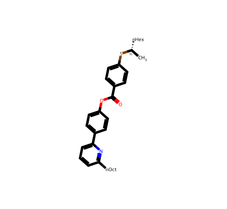 CCCCCCCCc1cccc(-c2ccc(OC(=O)c3ccc(S[C@@H](C)CCCCCC)cc3)cc2)n1